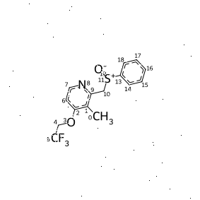 Cc1c(OCC(F)(F)F)ccnc1C[S+]([O-])c1ccccc1